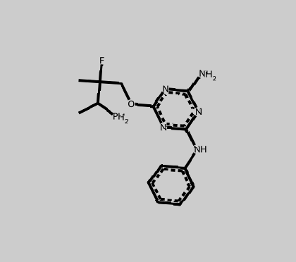 CC(P)C(C)(F)COc1nc(N)nc(Nc2ccccc2)n1